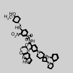 CC(C)c1ccccc1[C@@H]1CCCN1C1CC2(CCN(c3ccc(C(=O)NS(=O)(=O)c4ccc(NC[C@H]5CC[C@](C)(O)CC5)c([N+](=O)[O-])c4)c(N4CCCOc5nc6[nH]ccc6cc54)c3)CC2)C1